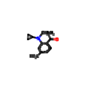 CN(c1cc(C(=O)O)ccc1C(=O)[AsH2])C1CC1